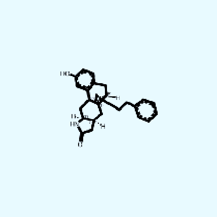 O=C1C[C@@H]2C[C@@]3(O)[C@H]4Cc5ccc(O)cc5[C@@]3(CCN4CCc3ccccc3)C[C@@H]2N1